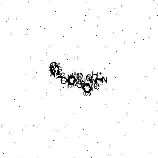 N#CC[NH+]([O-])C(=O)[C@@H]1CCCC[C@H]1CS(=O)(=O)c1ccc(OCCN2CCOCC2)cc1